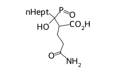 CCCCCCCC(O)(P=O)C(CCC(N)=O)C(=O)O